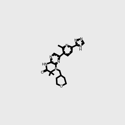 Cc1nc(-c2nnc[nH]2)ccc1-c1cnc2c(n1)N(CC1CCOCC1)C(C)(C)C(=O)N2